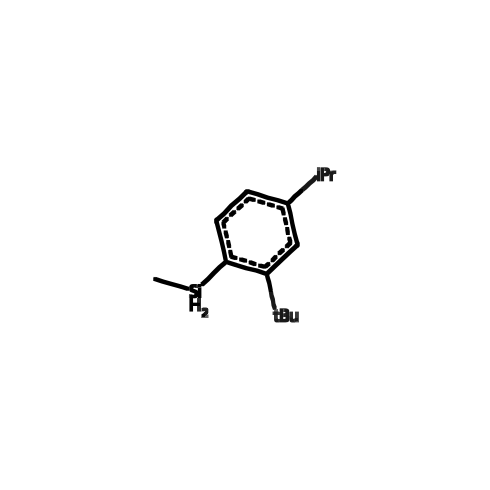 C[SiH2]c1ccc(C(C)C)cc1C(C)(C)C